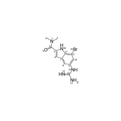 CN(C)C(=O)c1cc2cc(NC(=N)N)cc(Br)c2[nH]1